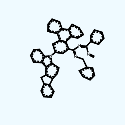 C=N/C(=N\C(=N/Cc1ccccc1)c1cc(-n2c3ccccc3c3c4c(ccc32)-c2ccccc2C4)cc2c3ccccc3c3ccccc3c12)c1ccccc1